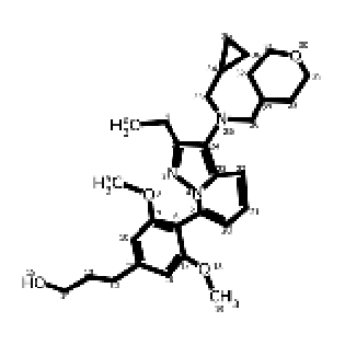 CCc1nn2c(-c3c(OC)cc(CCCO)cc3OC)cccc2c1N(CC1CCOCC1)CC1CC1